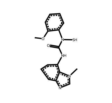 COc1ccccc1N(S)C(=O)Nc1cccc2ncn(C)c12